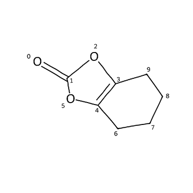 O=c1oc2c(o1)CCCC2